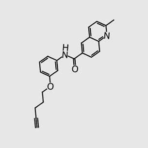 C#CCCCOc1cccc(NC(=O)c2ccc3nc(C)ccc3c2)c1